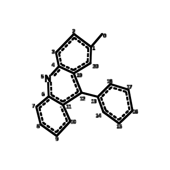 Cc1ccc2nc3ccccc3c(-c3ccccc3)c2c1